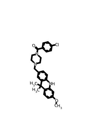 COc1ccc2c(c1)Nc1ccc(CN3CCN(C(=O)c4ccc(Cl)cc4)CC3)cc1C2(C)C